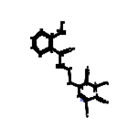 CNC(=O)N(/C=C(/F)C=O)CCNC(=O)c1ccccc1NC